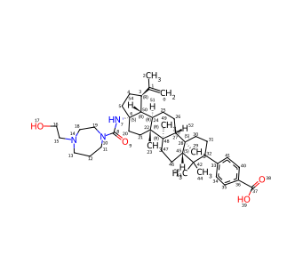 C=C(C)[C@@H]1CC[C@]2(NC(=O)N3CCCN(CCO)CC3)CC[C@]3(C)[C@H](CC[C@@H]4[C@@]5(C)CCC(c6ccc(C(=O)O)cc6)C(C)(C)[C@@H]5CC[C@]43C)[C@@H]12